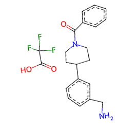 NCc1cccc(C2CCN(C(=O)c3ccccc3)CC2)c1.O=C(O)C(F)(F)F